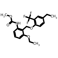 CCOc1cccc(NC(=O)OC)c1COc1ccc(CC)cc1C(F)(F)F